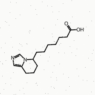 O=C(O)CCCCCCC1CCCc2cncn21